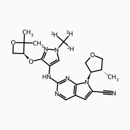 [2H]C([2H])([2H])n1cc(Nc2ncc3cc(C#N)n([C@H]4COC[C@@H]4C)c3n2)c(O[C@H]2COC2(C)C)n1